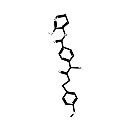 COc1ccc(CCC(=O)C(N)c2ccc(C(=O)Nc3cccnc3N)cc2)cc1